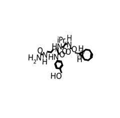 CC(C)[C@H](NC(=O)OC[C@@H]1[C@@H]2CCC#CCC[C@@H]21)C(=O)N[C@@H](CCCNC(N)=O)C(=O)Nc1ccc(CO)cc1